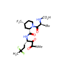 CNC(=O)C(=O)[C@H](CCC(C)(F)F)NC(=O)[C@@H]1C[C@H](C(F)(F)F)CCN1C(=O)[C@@H](NC(=O)O)C(C)(C)C